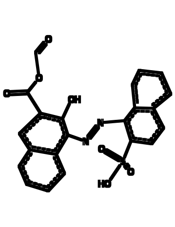 O=COC(=O)c1cc2ccccc2c(N=Nc2c(S(=O)(=O)O)ccc3ccccc23)c1O